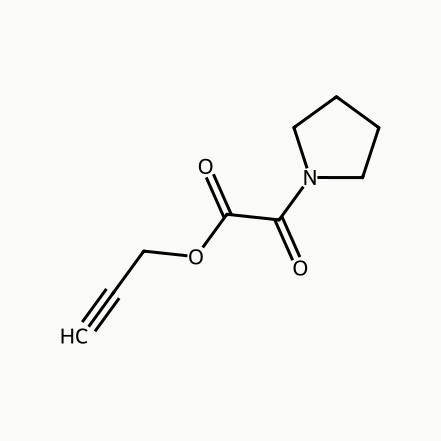 C#CCOC(=O)C(=O)N1CCCC1